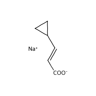 O=C([O-])/C=C/C1CC1.[Na+]